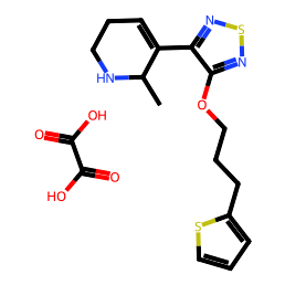 CC1NCCC=C1c1nsnc1OCCCc1cccs1.O=C(O)C(=O)O